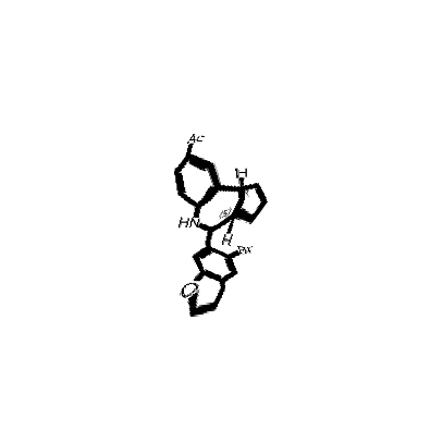 CC(=O)c1ccc2c(c1)[C@@H]1C=CC[C@@H]1C(c1cc3c(cc1Br)CCO3)N2